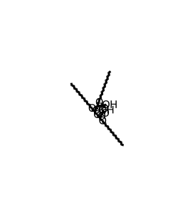 CCCCCCCCCCCCCCCCOCC(COCC(COCCCCCCCCCCCCCCCC)OCC(COCCCCCCCCCCCCCCCC)OCC(=O)O)OCC(=O)O